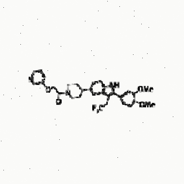 COc1ccc(-c2[nH]c3ccc(C4CCN(C(=O)COc5cccnc5)CC4)cc3c2CC(F)(F)F)cc1OC